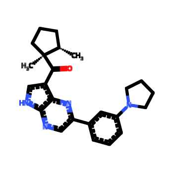 C[C@H]1CCC[C@]1(C)C(=O)c1c[nH]c2ncc(-c3cccc(N4CCCC4)c3)nc12